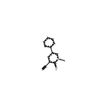 C#Cc1cc(-c2c[c]ccc2)cn(C)c1=O